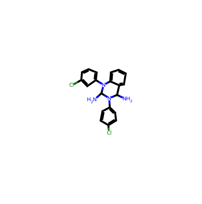 NC1c2ccccc2N(c2cccc(Cl)c2)C(N)N1c1ccc(Cl)cc1